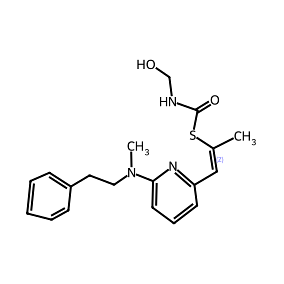 C/C(=C/c1cccc(N(C)CCc2ccccc2)n1)SC(=O)NCO